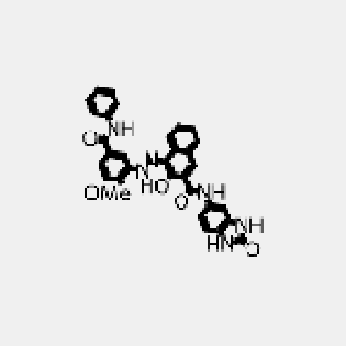 COc1ccc(C(=O)Nc2ccccc2)cc1N=Nc1c(O)c(C(=O)Nc2ccc3[nH]c(=O)[nH]c3c2)cc2ccccc12